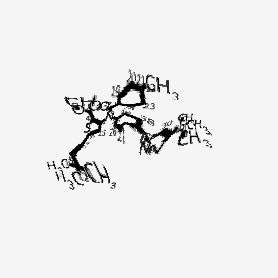 COC(=O)c1sc(C#CC(C)(C)C)cc1N(C(=O)C1CCC(C)CC1)C1CCC(n2cc([Si](C)(C)C)nn2)CC1